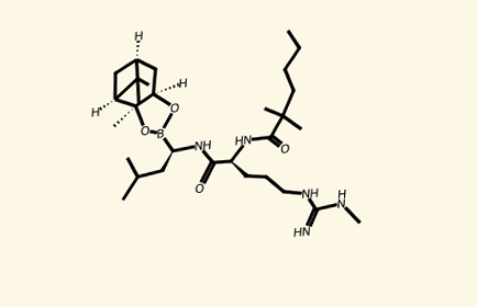 CCCCC(C)(C)C(=O)N[C@@H](CCCNC(=N)NC)C(=O)N[C@@H](CC(C)C)B1O[C@@H]2C[C@@H]3C[C@@H](C3(C)C)[C@]2(C)O1